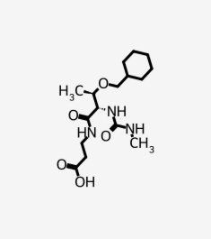 CNC(=O)N[C@H](C(=O)NCCC(=O)O)[C@@H](C)OCC1CCCCC1